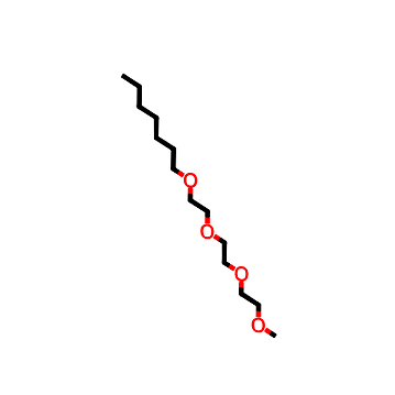 CCCCCCCOCCOCCOCCOC